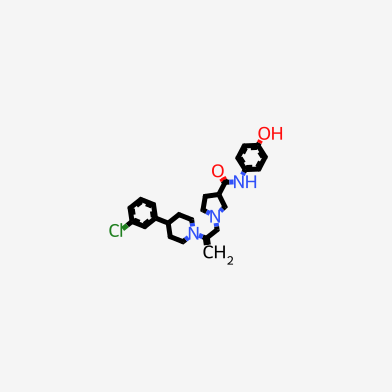 C=C(CN1CCC(C(=O)Nc2ccc(O)cc2)C1)N1CCC(c2cccc(Cl)c2)CC1